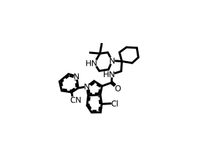 CC1(C)CN(C2(CNC(=O)c3cn(-c4ncccc4C#N)c4cccc(Cl)c34)CCCCC2)CCN1